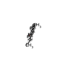 CCCCCc1ccc(-c2ccc(COc3ccc(-c4ccc(OC)cc4F)cc3)c(F)c2F)cc1